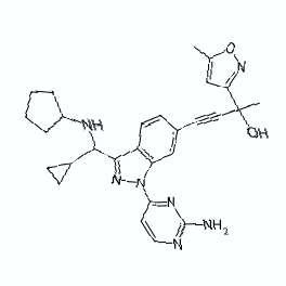 Cc1cc(C(C)(O)C#Cc2ccc3c(C(NC4CCCC4)C4CC4)nn(-c4ccnc(N)n4)c3c2)no1